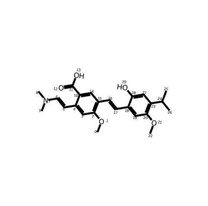 COc1cc(/C=C/N(C)C)c(C(=O)O)cc1/C=C/c1cc(OC)c(C(C)C)cc1O